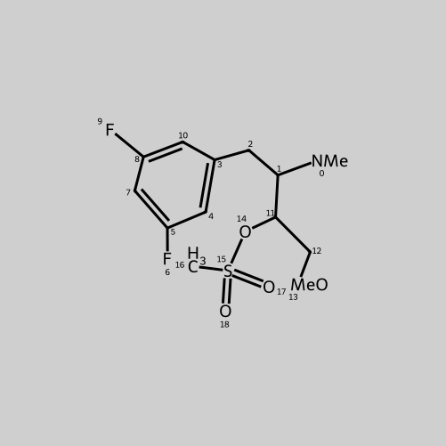 CNC(Cc1cc(F)cc(F)c1)C(COC)OS(C)(=O)=O